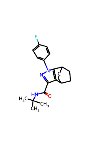 CC(C)(C)NC(=O)c1nn(-c2ccc(F)cc2)c2c1C1CCC2CC1